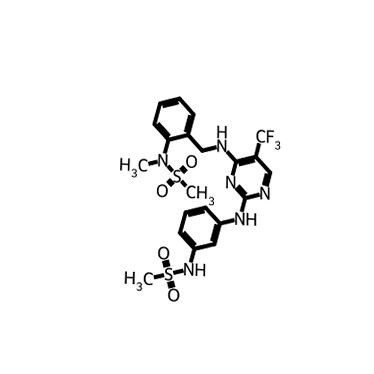 CN(c1ccccc1CNc1nc(Nc2cccc(NS(C)(=O)=O)c2)ncc1C(F)(F)F)S(C)(=O)=O